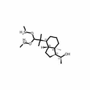 C[SiH2]OC(O[SiH2]C)C(C)(C)[C@H]1CCC[C@@]2(C)[C@@H]([C@H](C)O)CC[C@H]12